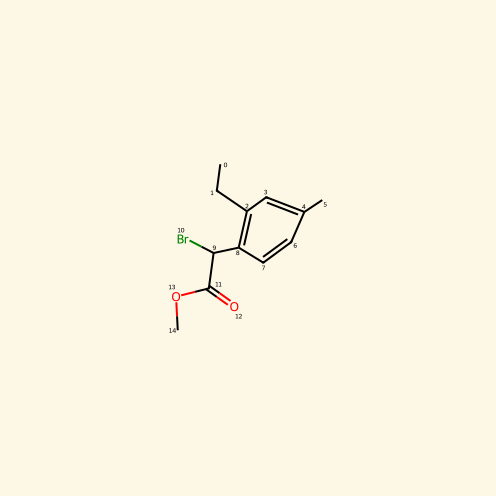 CCc1cc(C)ccc1C(Br)C(=O)OC